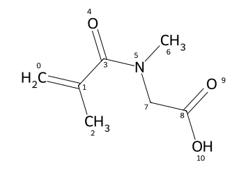 C=C(C)C(=O)N(C)CC(=O)O